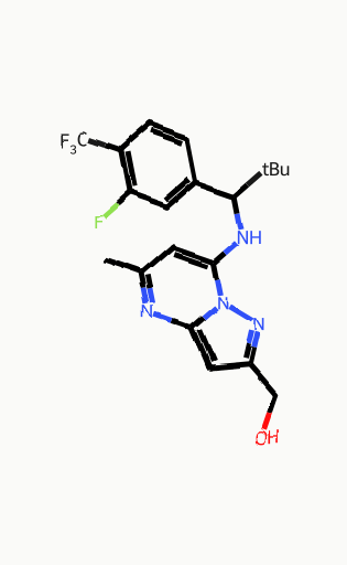 Cc1cc(NC(c2ccc(C(F)(F)F)c(F)c2)C(C)(C)C)n2nc(CO)cc2n1